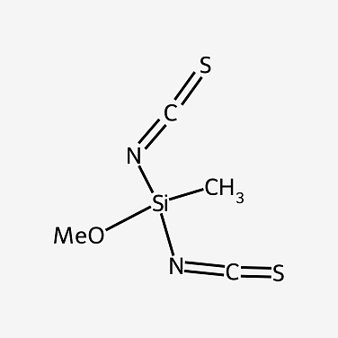 CO[Si](C)(N=C=S)N=C=S